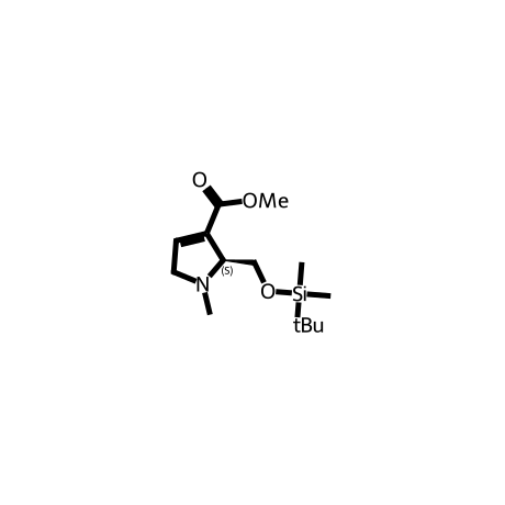 COC(=O)C1=CCN(C)[C@@H]1CO[Si](C)(C)C(C)(C)C